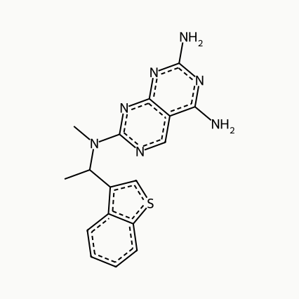 CC(c1csc2ccccc12)N(C)c1ncc2c(N)nc(N)nc2n1